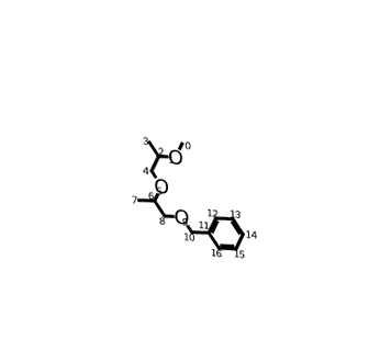 COC(C)COC(C)COCc1ccccc1